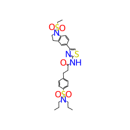 CCCN(CCC)S(=O)(=O)c1ccc(CCC(=O)Nc2nc(-c3ccc4c(c3)CCN4S(=O)(=O)CC)cs2)cc1